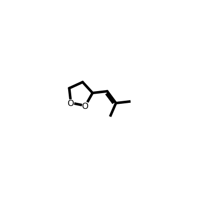 CC(C)=CC1CCOO1